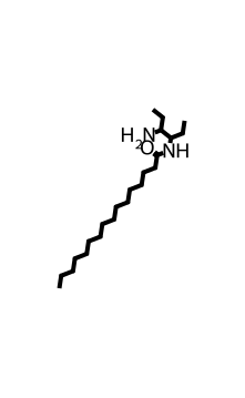 CCCCCCCCCCCCCCCC(=O)NC(CC)C(N)CC